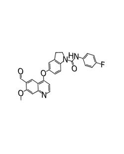 COc1cc2nccc(Oc3ccc4c(c3)CCN4C(=O)Nc3ccc(F)cc3)c2cc1C=O